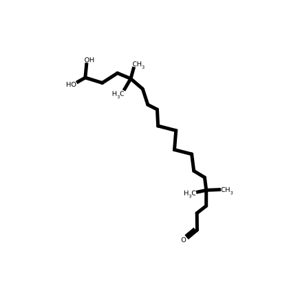 CC(C)(CCC=O)CCCCCCCCCC(C)(C)CCC(O)O